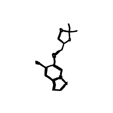 CC1(C)OCC(COc2cn3nccc3cc2Br)O1